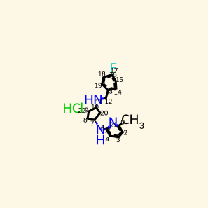 Cc1cccc(N[C@H]2CC[C@@H](NCc3ccc(F)cc3)C2)n1.Cl